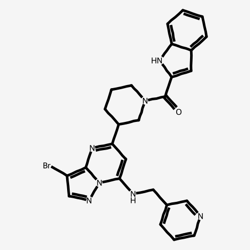 O=C(c1cc2ccccc2[nH]1)N1CCCC(c2cc(NCc3cccnc3)n3ncc(Br)c3n2)C1